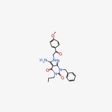 CCCn1c(=O)c2c(N)n(CC(=O)c3ccc(OC)cc3)nc2n(Cc2ccccc2)c1=O